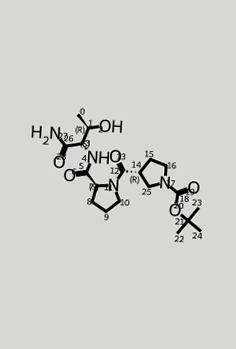 C[C@@H](O)[C@H](NC(=O)[C@@H]1CCCN1C(=O)[C@@H]1CCN(C(=O)OC(C)(C)C)C1)C(N)=O